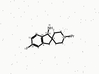 CC(C)N1CCC2(CC1)Cc1cc(F)ccc1[C@H]2N